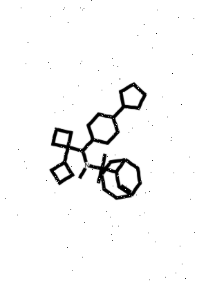 CN(C(C1CCC(C2CCCC2)CC1)C1(C2CCC2)CCC1)C(C)(C)C1C=C2CCCCC1CC2